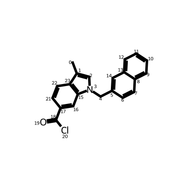 Cc1cn(Cc2ccc3ccccc3c2)c2cc(C(=O)Cl)ccc12